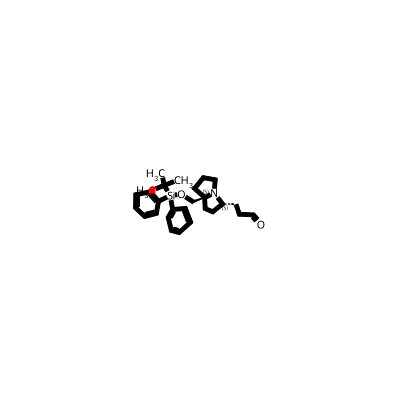 CC(C)(C)[Si](OC[C@@]12CCCN1[C@H](CCC=O)CC2)(c1ccccc1)c1ccccc1